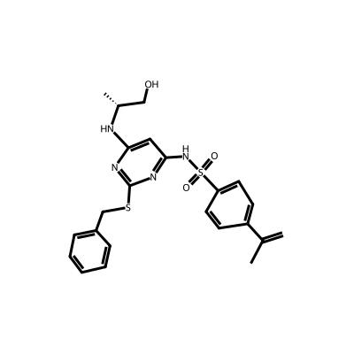 C=C(C)c1ccc(S(=O)(=O)Nc2cc(N[C@H](C)CO)nc(SCc3ccccc3)n2)cc1